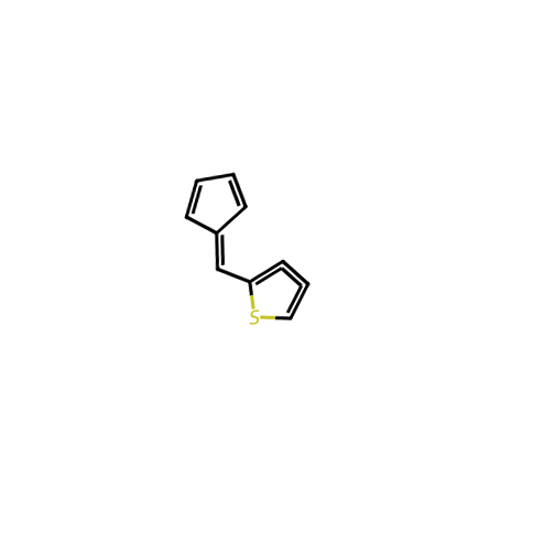 C1=C=C(C=C2C=CC=C2)SC=1